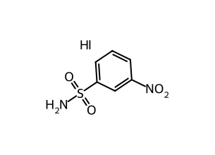 I.NS(=O)(=O)c1cccc([N+](=O)[O-])c1